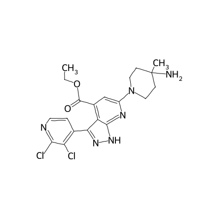 CCOC(=O)c1cc(N2CCC(C)(N)CC2)nc2[nH]nc(-c3ccnc(Cl)c3Cl)c12